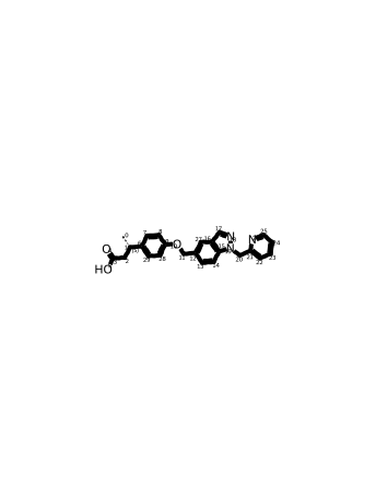 C[C@@H](CC(=O)O)c1ccc(OCc2ccc3c(cnn3Cc3ccccn3)c2)cc1